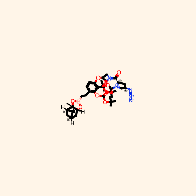 CC(C)(C)OC(=O)Oc1c(CCB2O[C@@H]3C[C@@H]4C[C@@H](C4(C)C)[C@]3(C)O2)ccc(OC2CN(C(=O)[C@@H]3C[C@@H](N=[N+]=[N-])CN3C(=O)OC(C)(C)C)C2)c1C(=O)OC(C)(C)C